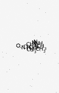 CC1CN(Cc2ccccc2)CCC1(C)c1cccc(-c2nn[nH]c2[Si](C)(C)C)c1